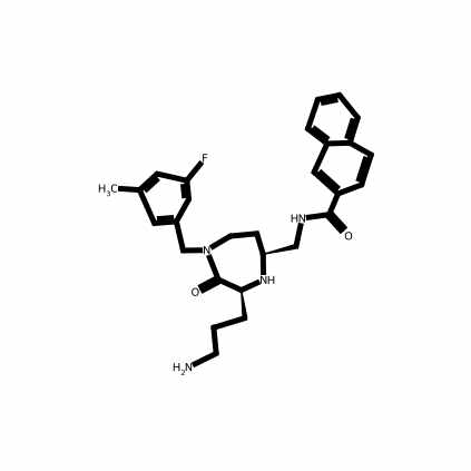 Cc1cc(F)cc(CN2CC[C@@H](CNC(=O)c3ccc4ccccc4c3)N[C@@H](CCCN)C2=O)c1